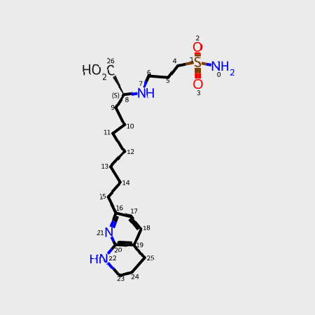 NS(=O)(=O)CCCN[C@@H](CCCCCCCc1ccc2c(n1)NCCC2)C(=O)O